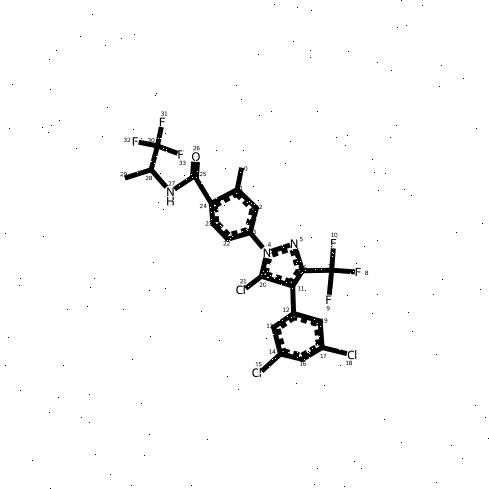 Cc1cc(-n2nc(C(F)(F)F)c(-c3cc(Cl)cc(Cl)c3)c2Cl)ccc1C(=O)NC(C)C(F)(F)F